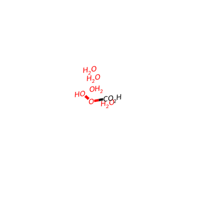 O.O.O.O.O=C(O)OO